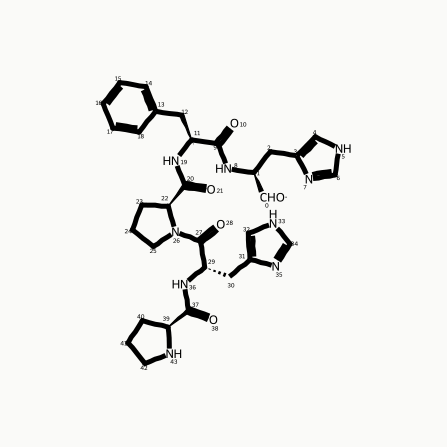 O=[C][C@H](Cc1c[nH]cn1)NC(=O)[C@H](Cc1ccccc1)NC(=O)[C@@H]1CCCN1C(=O)[C@H](Cc1c[nH]cn1)NC(=O)[C@@H]1CCCN1